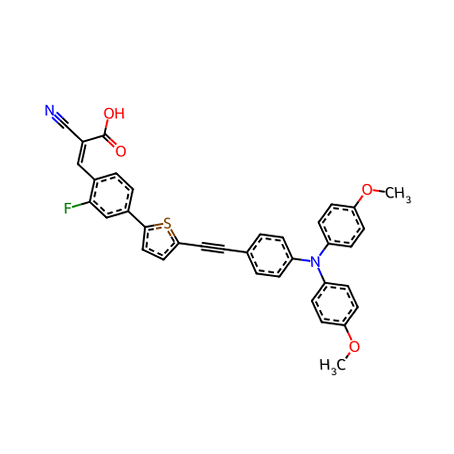 COc1ccc(N(c2ccc(C#Cc3ccc(-c4ccc(C=C(C#N)C(=O)O)c(F)c4)s3)cc2)c2ccc(OC)cc2)cc1